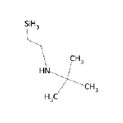 CC(C)(C)NCC[SiH3]